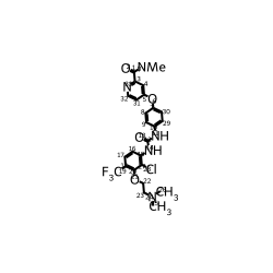 CNC(=O)c1cc(Oc2ccc(NC(=O)Nc3ccc(C(F)(F)F)c(OCCN(C)C)c3Cl)cc2)ccn1